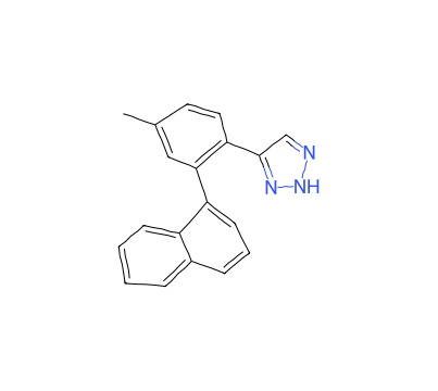 Cc1ccc(-c2cn[nH]n2)c(-c2cccc3ccccc23)c1